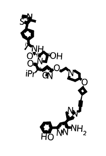 Cc1ncsc1-c1ccc([C@H](C)NC(=O)[C@@H]2C[C@@H](O)CN2C(=O)[C@@H](c2cc(OCCN3CCC(O[C@H]4C[C@H](C#CCn5cc(-c6cc(-c7ccccc7O)nnc6N)cn5)C4)CC3)no2)C(C)C)cc1